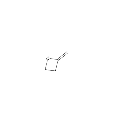 C=C1CCO1